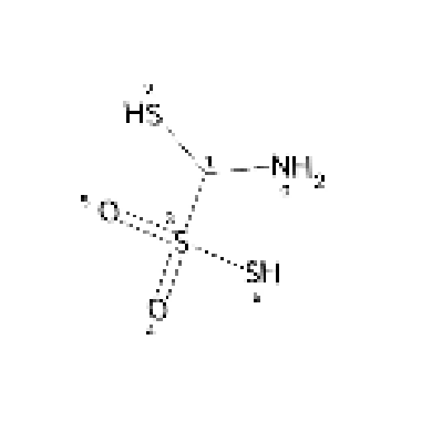 NC(S)S(=O)(=O)S